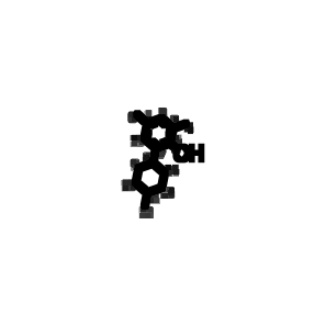 Cc1cc(C)c(O)c(C2CCC(C)CC2)c1